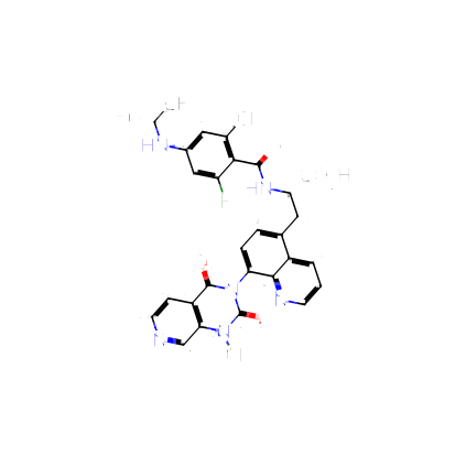 CC[C@@H](Nc1cc(C)c(C(=O)N[C@@H](Cc2ccc(-n3c(=O)c4ccncc4n(C)c3=O)c3ncccc23)C(=O)O)c(F)c1)C(F)(F)F